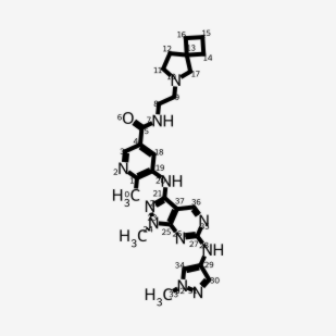 Cc1ncc(C(=O)NCCN2CCC3(CCC3)C2)cc1Nc1nn(C)c2nc(Nc3cnn(C)c3)ncc12